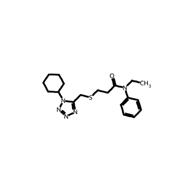 CCN(C(=O)CCSCc1nnnn1C1CCCCC1)c1ccccc1